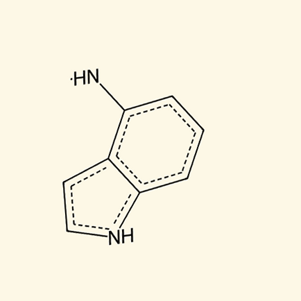 [NH]c1cccc2[nH]ccc12